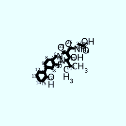 CC(C)c1nn(Cc2ccc(-c3ccccc3O)cc2F)c(=O)c(C(=O)NCC(=O)O)c1O